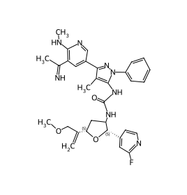 C=C(COC)[C@@H]1CC(NC(=O)Nc2c(C)c(-c3cnc(NC)c(C(C)=N)c3)nn2-c2ccccc2)[C@H](c2ccnc(F)c2)O1